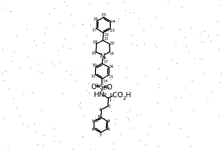 O=C(O)C(CCc1ccccc1)NS(=O)(=O)c1ccc(N2CCC(c3ccccc3)CC2)cc1